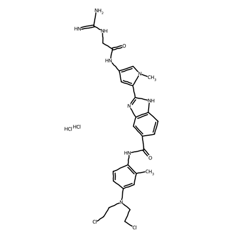 Cc1cc(N(CCCl)CCCl)ccc1NC(=O)c1ccc2[nH]c(-c3cc(NC(=O)CNC(=N)N)cn3C)nc2c1.Cl.Cl